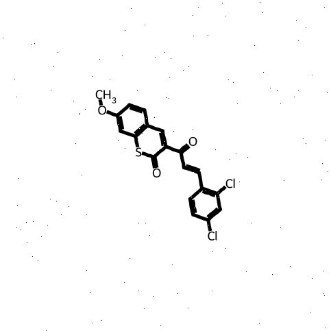 COc1ccc2cc(C(=O)C=Cc3ccc(Cl)cc3Cl)c(=O)sc2c1